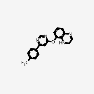 FC(F)(F)c1ccc(-c2cc(Oc3cccc4c3NCC=N4)ncn2)cc1